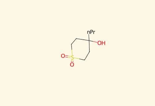 CCCC1(O)CCS(=O)(=O)CC1